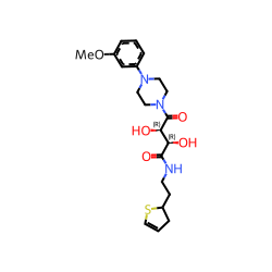 COc1cccc(N2CCN(C(=O)[C@H](O)[C@@H](O)C(=O)NCCC3CC=CS3)CC2)c1